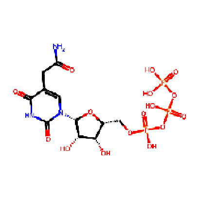 NC(=O)Cc1cn([C@@H]2O[C@H](COP(=O)(O)OP(=O)(O)OP(=O)(O)O)[C@H](O)[C@@H]2O)c(=O)[nH]c1=O